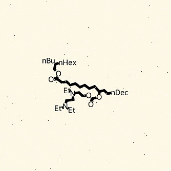 CCCCCCCCCCCCC(CCCCCCCCC(=O)OCC(CCCC)CCCCCC)OC(=O)OCCN(CC)CCN(CC)CC